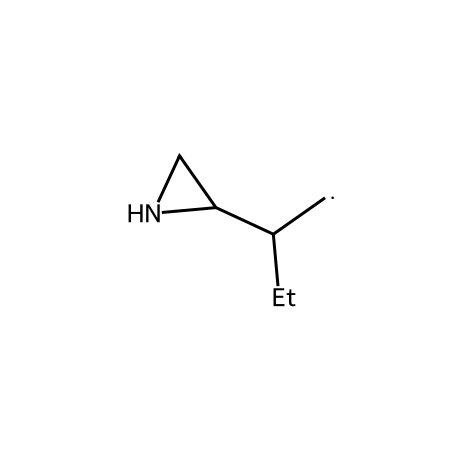 [CH2]C(CC)C1CN1